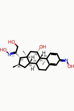 C[C@@H]1C[C@H]2[C@@H]3CCC4=CC(=NO)C=C[C@]4(C)[C@H]3[C@@H](O)C[C@]2(C)[C@H]1/C(CO)=N/O